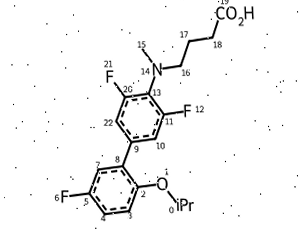 CC(C)Oc1ccc(F)cc1-c1cc(F)c(N(C)CCCC(=O)O)c(F)c1